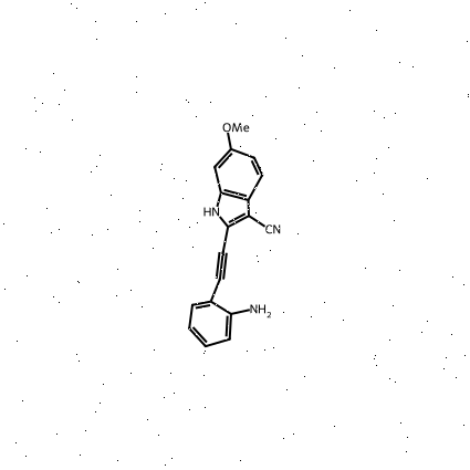 COc1ccc2c(C#N)c(C#Cc3ccccc3N)[nH]c2c1